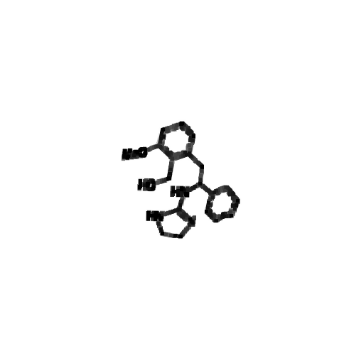 COc1cccc(CC(NC2=NCCN2)c2ccccc2)c1CO